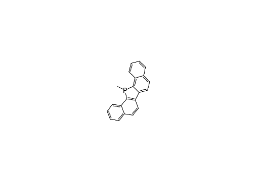 Cp1c2c3ccccc3ccc2c2ccc3ccccc3c21